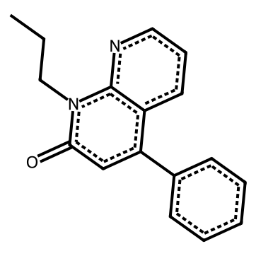 CCCn1c(=O)cc(-c2ccccc2)c2cccnc21